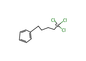 Cl[Si](Cl)(Cl)CCCCc1ccccc1